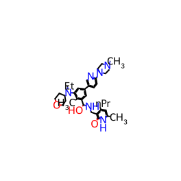 CCCc1cc(C)[nH]c(=O)c1CNC(O)c1cc(-c2ccc(N3CCN(C)CC3)nc2)cc(N(CC)C2CCOCC2)c1C